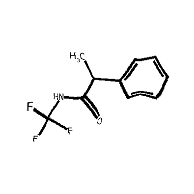 CC(C(=O)NC(F)(F)F)c1ccccc1